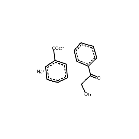 O=C(CO)c1ccccc1.O=C([O-])c1ccccc1.[Na+]